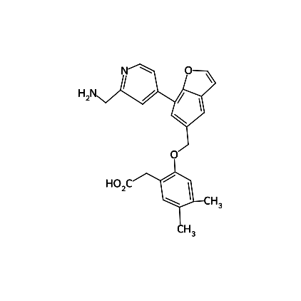 Cc1cc(CC(=O)O)c(OCc2cc(-c3ccnc(CN)c3)c3occc3c2)cc1C